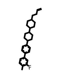 C=CCCC1CCC(C2CCC(c3ccc(-c4ccc(C)c(F)c4)cc3)CC2)CC1